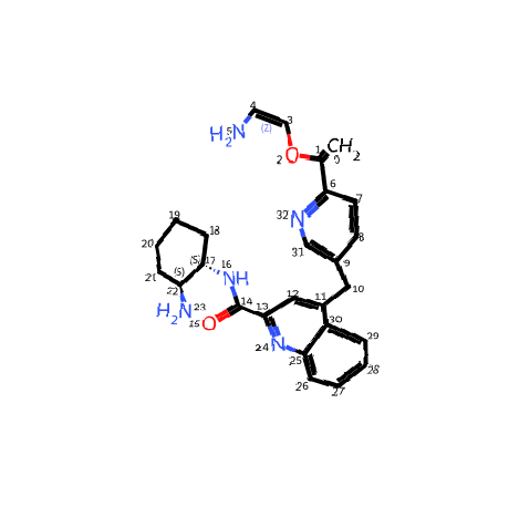 C=C(O/C=C\N)c1ccc(Cc2cc(C(=O)N[C@H]3CCCC[C@@H]3N)nc3ccccc23)cn1